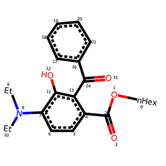 CCCCCCOC(=O)c1ccc(N(CC)CC)c(O)c1C(=O)c1ccccc1